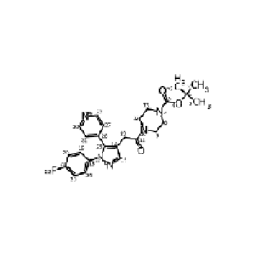 CC(C)(C)OC(=O)N1CCN(C(=O)Cc2cnn(-c3ccc(F)cc3)c2-c2ccncc2)CC1